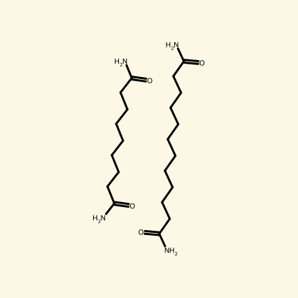 NC(=O)CCCCCCCC(N)=O.NC(=O)CCCCCCCCCCC(N)=O